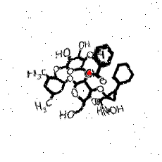 CC1CC(C)C(OC2OC(C)C(O)C(O)C2O)C(OC2OC(CO)C(O)C(OC3(C(=O)NO)CC3C3CCCCC3)C2OC(=O)c2ccccc2)C1